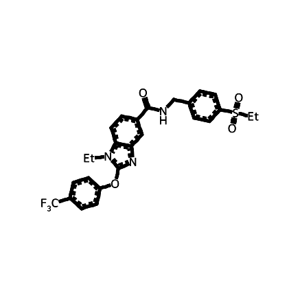 CCn1c(Oc2ccc(C(F)(F)F)cc2)nc2cc(C(=O)NCc3ccc(S(=O)(=O)CC)cc3)ccc21